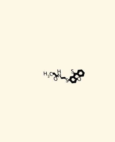 C=CC(=O)NCCSc1ccc2oc3ccccc3c(=S)c2c1